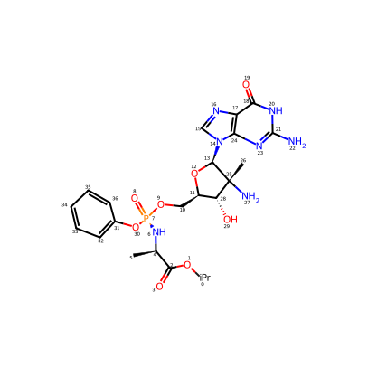 CC(C)OC(=O)[C@@H](C)N[P@@](=O)(OC[C@H]1O[C@@H](n2cnc3c(=O)[nH]c(N)nc32)[C@](C)(N)[C@@H]1O)Oc1ccccc1